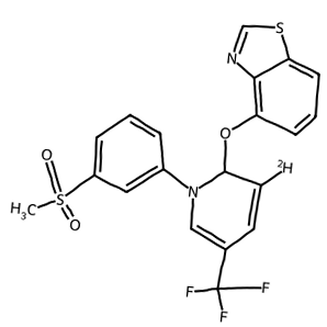 [2H]C1=CC(C(F)(F)F)=CN(c2cccc(S(C)(=O)=O)c2)C1Oc1cccc2scnc12